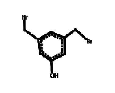 Oc1cc(CBr)cc(CBr)c1